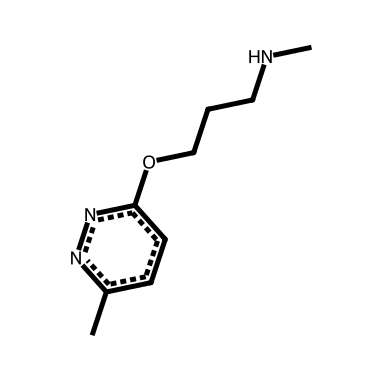 CNCCCOc1ccc(C)nn1